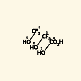 O=C(O)O.OC(F)(F)F.OC(F)(F)F